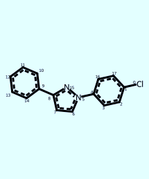 Clc1ccc(-n2ccc(-c3ccccc3)n2)cc1